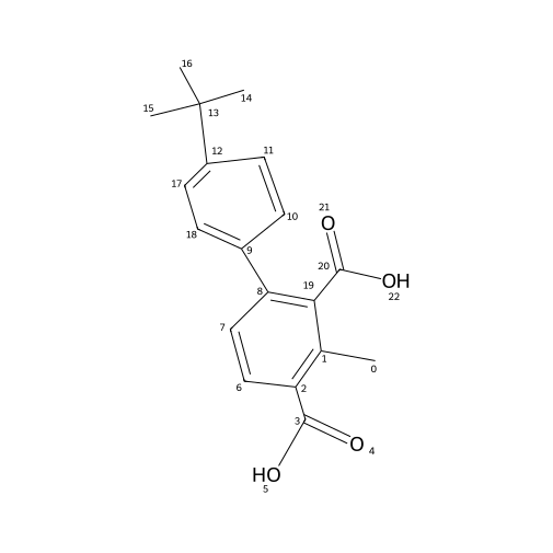 Cc1c(C(=O)O)ccc(-c2ccc(C(C)(C)C)cc2)c1C(=O)O